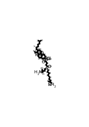 CC(C)CCC[C@@H](C)[C@H]1CC[C@H]2[C@@H]3CC=C4C[C@@H](OC(=O)CCC(=O)N(CCCCCCCC(C)(C)N)CCC(C)(C)N)CC[C@]4(C)[C@H]3CC[C@]12C.Cl.Cl